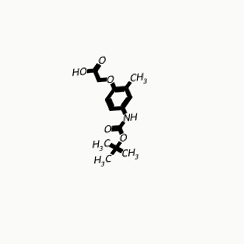 Cc1cc(NC(=O)OC(C)(C)C)ccc1OCC(=O)O